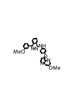 COc1cccc(-c2nnc(Nc3ccc(Oc4ccnc5cc(OC)cnc45)cc3)c3ccccc23)c1